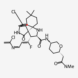 C=C(Cl)/N=C\C=C(/F)[C@H]1[C@H](C(=O)N[C@@H]2CC[C@@H](CC(=O)NC)OC2)NC2(CCC(C)(C)CC2)[C@@]12C(=O)Nc1cc(Cl)ccc12